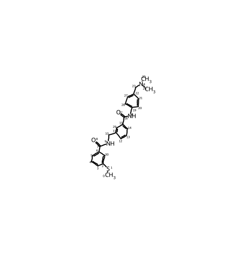 CSc1cccc(C(=O)NCc2cccc(C(=O)Nc3ccc(CN(C)C)cc3)c2)c1